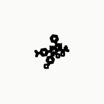 CC(C)c1ccc(-c2nc3c(-c4ccccc4)nn(C(=O)N(C)C)c3c(=O)n2-c2ccc(Cl)cc2)cc1